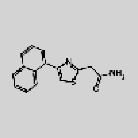 NC(=O)Cc1nc(-c2cccc3ccccc23)cs1